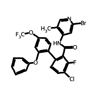 Cc1cnc(Br)cc1NC(=O)c1c(-c2ccc(OC(F)(F)F)cc2Oc2ccccc2)ccc(Cl)c1F